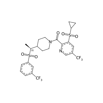 C[C@@H](C1CCN(C(=O)c2ncc(C(F)(F)F)cc2S(=O)(=O)C2CC2)CC1)S(=O)(=O)c1cccc(C(F)(F)F)c1